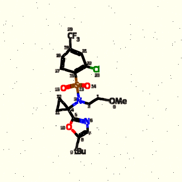 COCCN(C1(c2ncc(C(C)(C)C)o2)CC1)S(=O)(=O)c1ccc(C(F)(F)F)cc1Cl